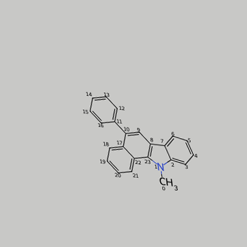 Cn1c2ccccc2c2cc(-c3ccccc3)c3ccccc3c21